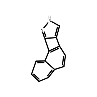 c1ccc2c3c(ccc2c1)-c1c[nH]nc1-3